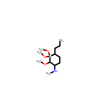 CCCC1CCC(NC)C(OC)[Si]1(OC)OC